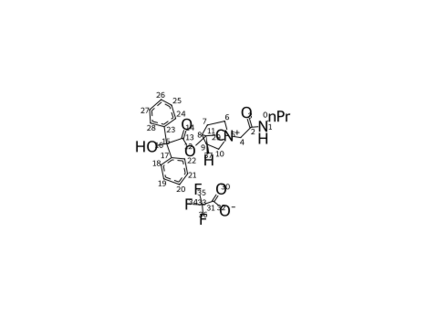 CCCNC(=O)C[N+]12CCC(CC1)[C@@H](OC(=O)C(O)(c1ccccc1)c1ccccc1)C2.O=C([O-])C(F)(F)F